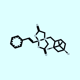 CC1(C)[C@@H]2CCC(C[N+]34CC(=O)O[B-]3(/C=C/c3ccccc3)OC(=O)C4)[C@H]1C2